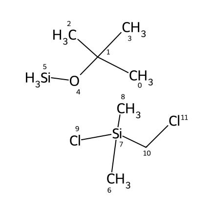 CC(C)(C)O[SiH3].C[Si](C)(Cl)CCl